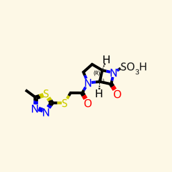 Cc1nnc(SCC(=O)N2CC[C@@H]3[C@H]2C(=O)N3S(=O)(=O)O)s1